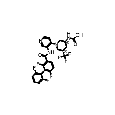 O=C(O)N[C@H]1C[C@@H](C(F)(F)F)CN(c2ccncc2NC(=O)c2ccc(F)c(-c3c(F)cccc3F)c2F)C1